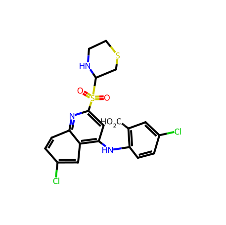 O=C(O)c1cc(Cl)ccc1Nc1cc(S(=O)(=O)C2CSCCN2)nc2ccc(Cl)cc12